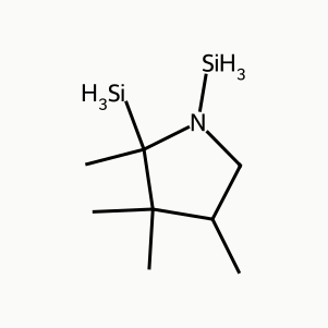 CC1CN([SiH3])C(C)([SiH3])C1(C)C